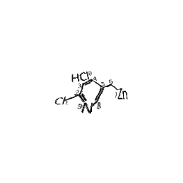 Cl.Clc1ccc([CH2][Zn])cn1